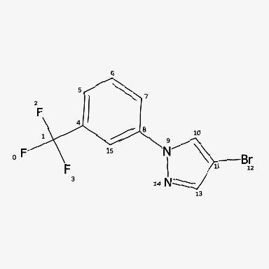 FC(F)(F)c1cccc(-n2cc(Br)cn2)c1